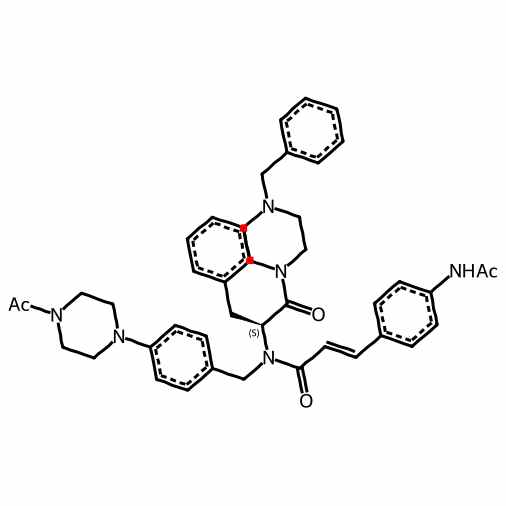 CC(=O)Nc1ccc(C=CC(=O)N(Cc2ccc(N3CCN(C(C)=O)CC3)cc2)[C@@H](Cc2ccccc2)C(=O)N2CCN(Cc3ccccc3)CC2)cc1